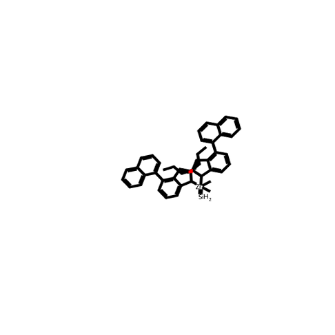 CCCC1=Cc2c(-c3cccc4ccccc34)cccc2[CH]1[Zr]([CH3])([CH3])(=[SiH2])[CH]1C(CCC)=Cc2c(-c3cccc4ccccc34)cccc21